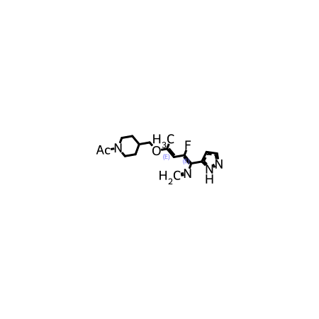 C=N/C(=C(F)\C=C(/C)OCC1CCN(C(C)=O)CC1)c1ccn[nH]1